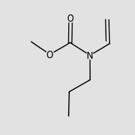 C=CN(CCC)C(=O)OC